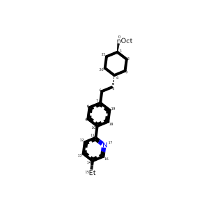 CCCCCCCC[C@H]1CC[C@H](CCc2ccc(-c3ccc(CC)cn3)cc2)CC1